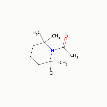 CC(=O)N1C(C)(C)C[CH]CC1(C)C